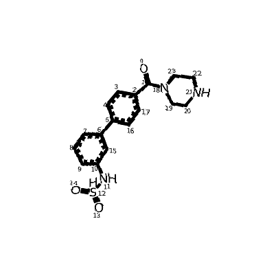 O=C(c1ccc(-c2cccc(N[SH](=O)=O)c2)cc1)N1CCNCC1